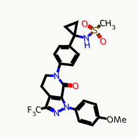 COc1ccc(-n2nc(C(F)(F)F)c3c2C(=O)N(c2ccc(C4(NS(C)(=O)=O)CC4)cc2)CC3)cc1